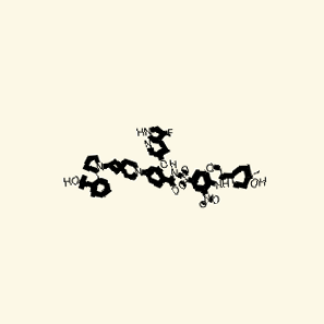 CC(C)(O)c1ccccc1[C@@H]1CCCN1C1CC2(CCN(c3ccc(C(=O)NS(=O)(=O)c4cc5c(c([N+](=O)[O-])c4)N[C@@H]([C@H]4CC[C@](C)(O)CC4)CO5)c(Oc4cnc5[nH]cc(F)c5c4)c3)CC2)C1